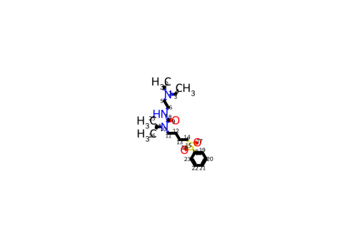 CCN(CC)CCNC(=O)N(CCCCS(=O)(=O)c1ccccc1)C(C)C